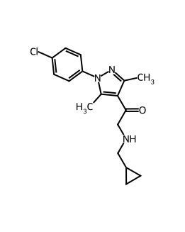 Cc1nn(-c2ccc(Cl)cc2)c(C)c1C(=O)CNCC1CC1